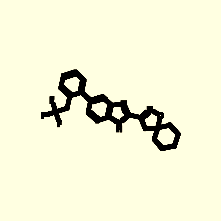 FC(F)(F)Cc1ccccc1-c1ccc2[nH]c(C3=NOC4(CCCCC4)C3)nc2c1